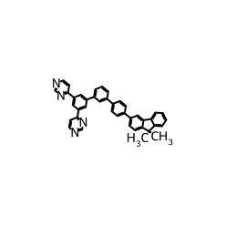 CC1(C)c2ccccc2-c2cc(-c3ccc(-c4cccc(-c5cc(-c6ccncn6)cc(-c6ccncn6)c5)c4)cc3)ccc21